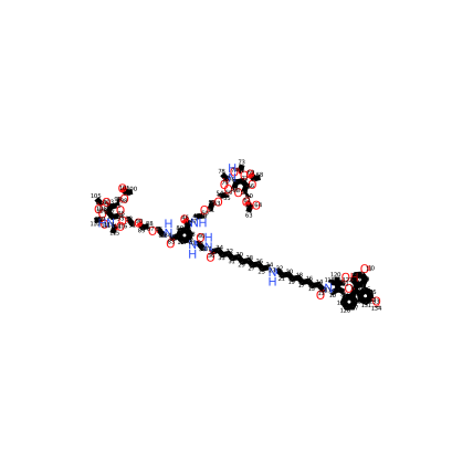 COc1ccc(C(OCC2CN(C(=O)CCCCCCCCCNCCCCCCCCCCCC(=O)NCC(=O)Nc3cc(C(=O)NCCOCCOCCOC4O[C@H](COC(C)=O)[C@H](OC(C)=O)[C@H](OC(C)=O)[C@H]4NC(C)=O)cc(C(=O)NCCOCCOCCOC4O[C@H](COC(C)=O)[C@H](OC(C)=O)[C@H](OC(C)=O)[C@H]4NC(C)=O)c3)CC2(C)CO)(c2ccccc2)c2ccc(OC)cc2)cc1